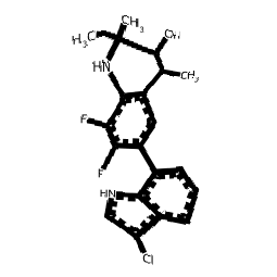 CC1c2cc(-c3cccc4c(Cl)c[nH]c34)c(F)c(F)c2NC(C)(C)C1O